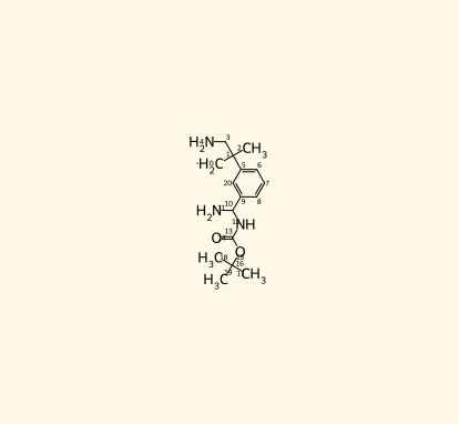 [CH2]C(C)(CN)c1cccc(C(N)NC(=O)OC(C)(C)C)c1